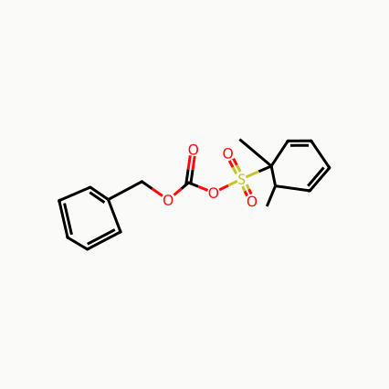 CC1C=CC=CC1(C)S(=O)(=O)OC(=O)OCc1ccccc1